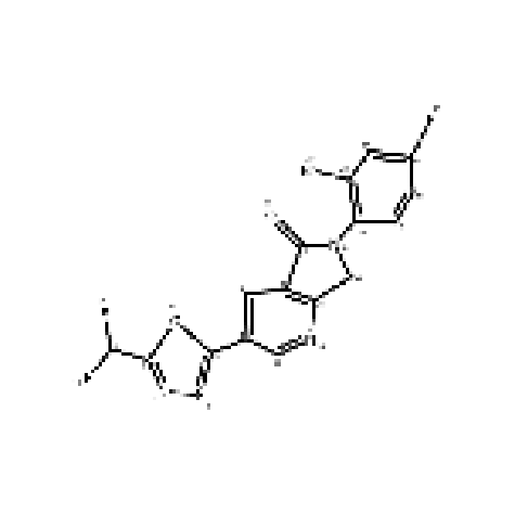 O=C1c2cc(-c3nnc(C(F)F)o3)cnc2CN1c1ccc(F)cc1Br